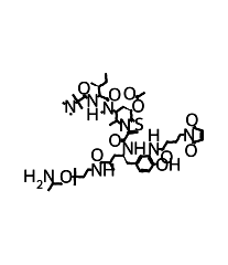 CC[C@H](C)[C@H](NC(=O)C(C)(C)N(C)C)C(=O)N(C)C(C[C@@H](OC(C)=O)c1nc(C(=O)N[C@@H](Cc2ccc(O)c(NC(=O)CCCN3C(=O)C=CC3=O)c2)CC(C)C(=O)NCCC(C)(C)OCC(C)N)cs1)C(C)C